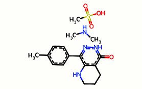 CNC.CS(=O)(=O)O.Cc1ccc(-c2n[nH]c(=O)c3c2NCCC3)cc1